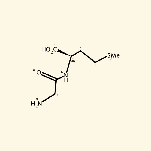 CSCC[C@@H](NC(=O)CN)C(=O)O